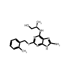 Cc1ccccc1CSc1nc(N[C@H](C)CO)c2nc(N)[nH]c2n1